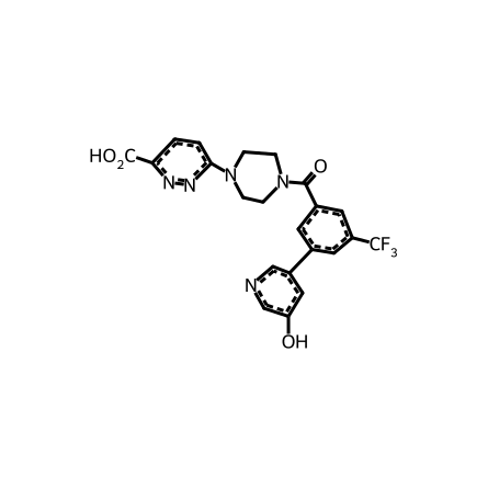 O=C(O)c1ccc(N2CCN(C(=O)c3cc(-c4cncc(O)c4)cc(C(F)(F)F)c3)CC2)nn1